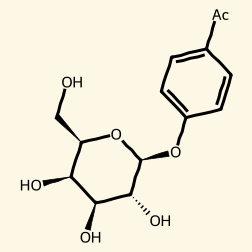 CC(=O)c1ccc(O[C@@H]2O[C@H](CO)[C@H](O)[C@H](O)[C@H]2O)cc1